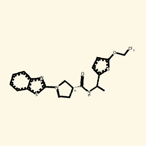 CC(NC(=O)[C@@H]1CCN(c2nc3ccccc3s2)C1)c1ccc(OCC(F)(F)F)s1